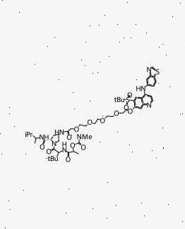 CNC(=O)OC(C)C(=O)NC(C(=O)N1C[C@@H](NC(=O)COCCOCCOCCOCCOc2cc3nccc(Nc4ccc5scnc5c4)c3cc2S(=O)(=O)C(C)(C)C)C[C@H]1C(=O)NC(C)C(C)C)C(C)(C)C